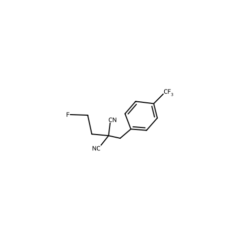 N#CC(C#N)(CCF)Cc1ccc(C(F)(F)F)cc1